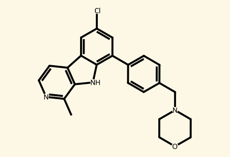 Cc1nccc2c1[nH]c1c(-c3ccc(CN4CCOCC4)cc3)cc(Cl)cc12